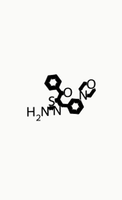 Nc1nc(-c2cccc(N3CCOCC3)c2)c(C(=O)c2ccccc2)s1